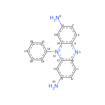 Nc1ccc2nc3ccc(N)cc3[n+](-c3ccccc3)c2c1